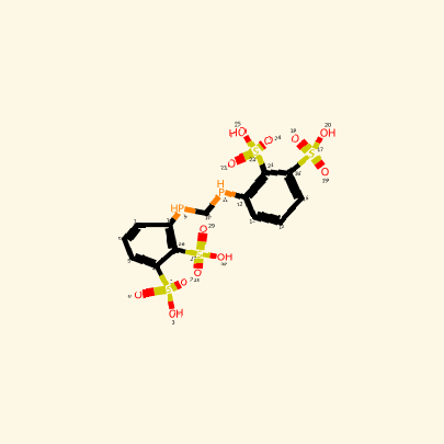 O=S(=O)(O)c1cccc(PCPc2cccc(S(=O)(=O)O)c2S(=O)(=O)O)c1S(=O)(=O)O